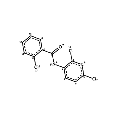 O=C(Nc1ccc(Cl)nc1Cl)c1ccccc1O